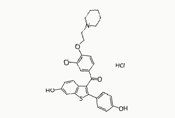 Cl.O=C(c1ccc(OCCN2CCCCC2)c(Cl)c1)c1c(-c2ccc(O)cc2)sc2cc(O)ccc12